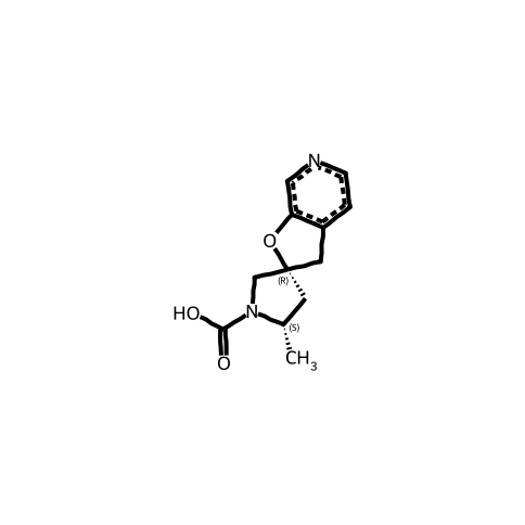 C[C@H]1C[C@]2(Cc3ccncc3O2)CN1C(=O)O